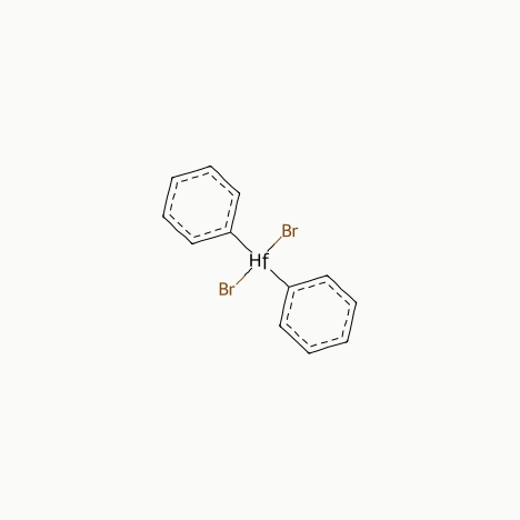 [Br][Hf]([Br])([c]1ccccc1)[c]1ccccc1